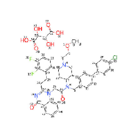 COCCN1CCC(N(Cc2ccc(-c3ccc(Cl)cc3)cc2)C(=O)Cn2c(CCc3cccc(F)c3F)nc(=O)c3ccccc32)CC1.O=C(O)C(O)C(O)C(=O)O